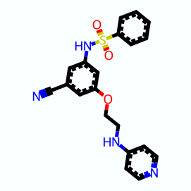 N#Cc1cc(NS(=O)(=O)c2ccccc2)cc(OCCNc2ccncc2)c1